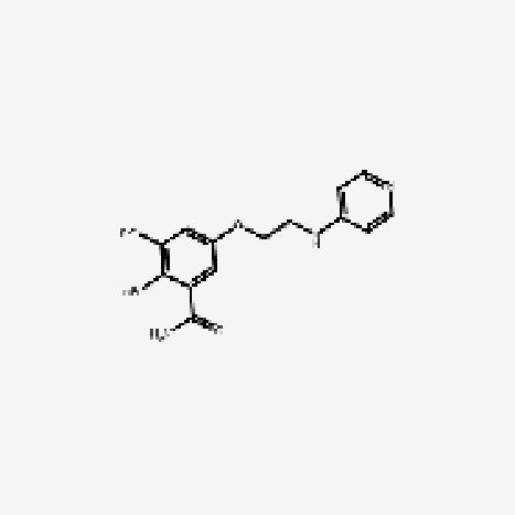 CCCc1cc(OCCNc2ccncc2)cc(C(N)=O)c1CCC